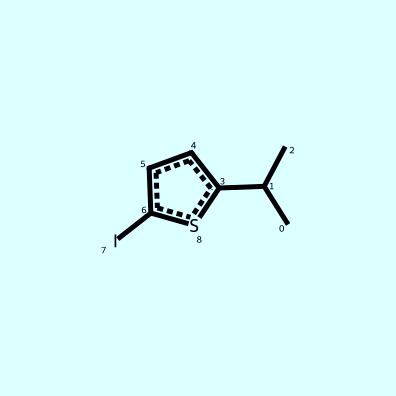 CC(C)c1ccc(I)s1